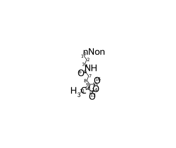 CCCCCCCCCCCCNC(=O)CCC1=C(C)C(=O)OC1=O